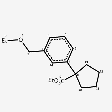 CCOCc1cccc(C2(C(=O)OCC)CCCC2)c1